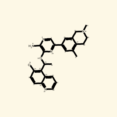 Cc1cc(-c2cnc(N)c(OC(C)c3c(Cl)ccc4ncccc34)n2)cc2c1CCN(C)C2